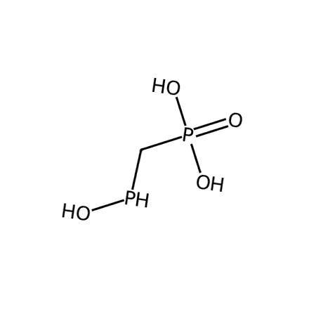 O=P(O)(O)CPO